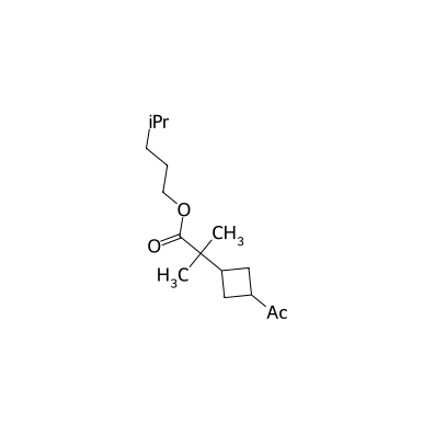 CC(=O)C1CC(C(C)(C)C(=O)OCCCC(C)C)C1